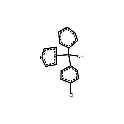 OC(c1ccccc1)(c1ccncc1)c1ccc(Cl)cc1